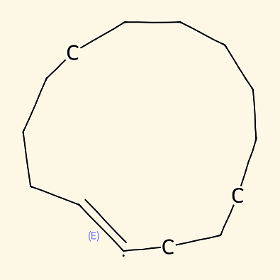 [C]1=C/CCCCCCCCCCCC/1